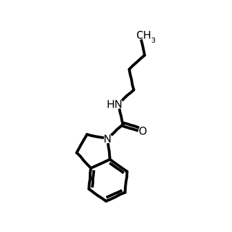 CCCCNC(=O)N1CCc2ccccc21